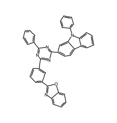 c1ccc(-c2nc(-c3cccc(-c4nc5ccccc5o4)c3)nc(-c3ccc4c5ccccc5n(-c5ccccc5)c4c3)n2)cc1